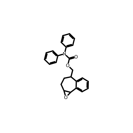 O=C(OCC1CCC2OC2c2ccccc21)N(c1ccccc1)c1ccccc1